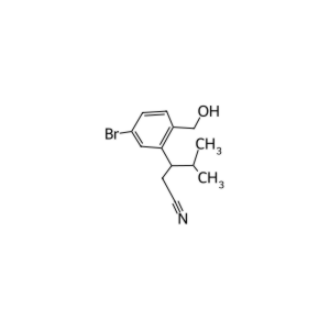 CC(C)C(CC#N)c1cc(Br)ccc1CO